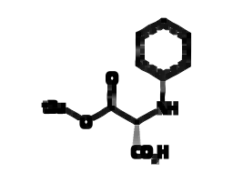 CC(C)(C)OC(=O)[C@H](Nc1ccccc1)C(=O)O